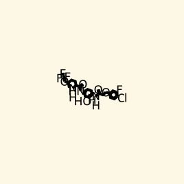 O=C(COc1ccc(Cl)c(F)c1)NC12CCC(NC(=O)C3CCC(OC(F)(F)F)CN3)(CC1)C[C@@H]2O